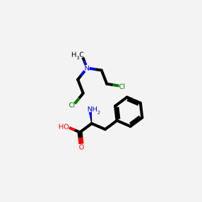 CN(CCCl)CCCl.N[C@@H](Cc1ccccc1)C(=O)O